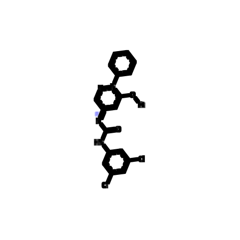 CCOc1c/c(=N\C(=O)Nc2cc(Cl)cc(Cl)c2)cnn1-c1ccccc1